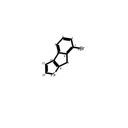 Brc1cccc2c1Cc1sccc1-2